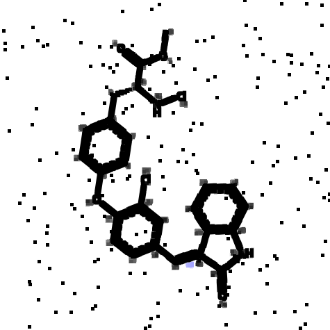 COC(=O)[C@@H](Cc1ccc(Oc2ccc(/C=C3/C(=O)Nc4ccccc43)cc2Cl)cc1)NCl